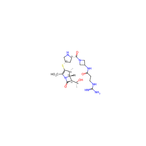 C[C@@H](O)[C@H]1C(=O)N2C(C(=O)O)=C(S[C@@H]3CN[C@H](C(=O)N4CC(NC(=O)CCNC(=N)N)C4)C3)[C@H](C)[C@H]12